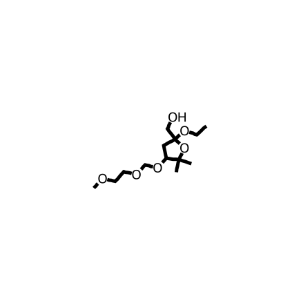 CCOC1(CO)CC(OCOCCOC)C(C)(C)O1